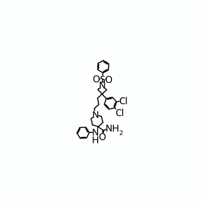 NC(=O)C1(Nc2ccccc2)CCN(CCCC2(c3ccc(Cl)c(Cl)c3)CN(S(=O)(=O)c3ccccc3)C2)CC1